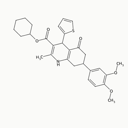 COc1ccc(C2CC(=O)C3=C(C2)NC(C)=C(C(=O)OC2CCCCC2)C3c2cccs2)cc1OC